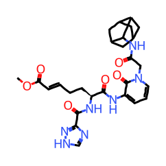 COC(=O)/C=C/CC[C@H](NC(=O)c1nc[nH]n1)C(=O)Nc1cccn(CC(=O)NC2C3CC4CC(C3)C2C4)c1=O